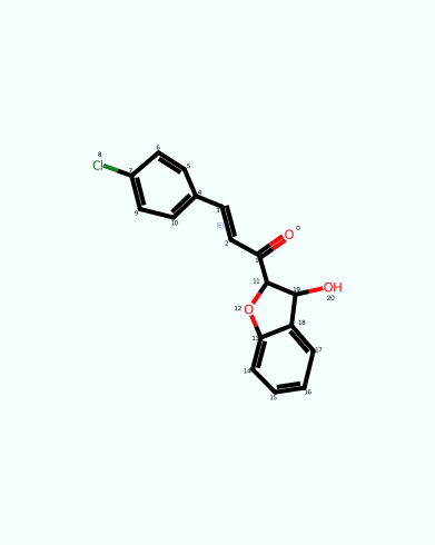 O=C(/C=C/c1ccc(Cl)cc1)C1Oc2ccccc2C1O